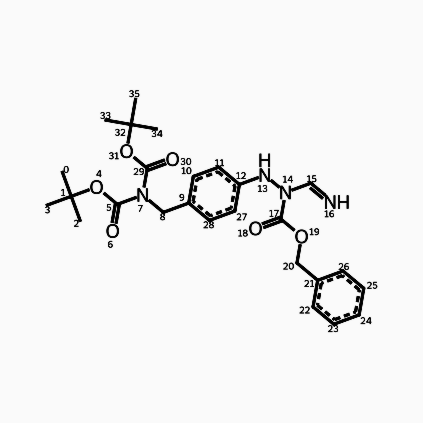 CC(C)(C)OC(=O)N(Cc1ccc(NN(C=N)C(=O)OCc2ccccc2)cc1)C(=O)OC(C)(C)C